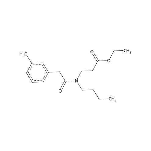 CCCCN(CCC(=O)OCC)C(=O)Cc1cccc(C)c1